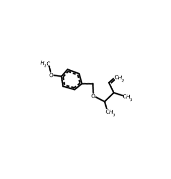 C=CC(C)C(C)OCc1ccc(OC)cc1